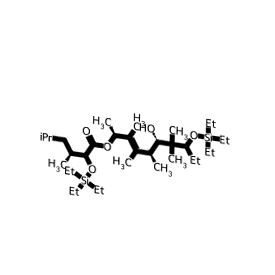 CCC(O[Si](CC)(CC)CC)C(C)(C)[C@@H](O)[C@@H](C)/C(C)=C(\C)[C@H](C)OC(=O)C(O[Si](CC)(CC)CC)[C@@H](C)CC(C)C